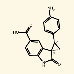 Nc1ccc([C@H]2C[C@@]23C(=O)Nc2ccc(C(=O)O)cc23)cc1